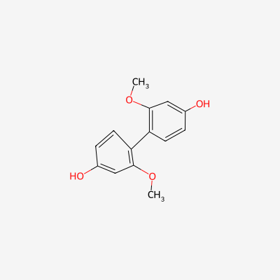 COc1cc(O)ccc1-c1ccc(O)cc1OC